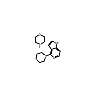 C1COCCN1.c1nc(N2CCOCC2)c2cc[nH]c2n1